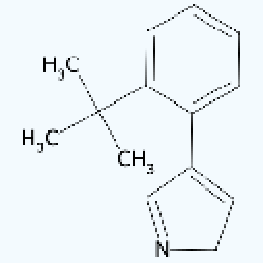 CC(C)(C)c1ccccc1C1=CCN=C1